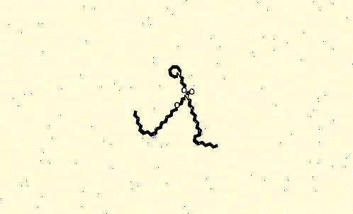 CCCCC/C=C\C/C=C\CCCCCCCCOCCN(CCCCCCCC/C=C\C/C=C\CCCCC)C(=O)OCCCN1CCCCCC1